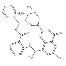 Cc1cc(C(C)Nc2ccccc2C(=O)OCc2ccccc2)c2oc(N3CCC(C)(C)CC3)cc(=O)c2c1